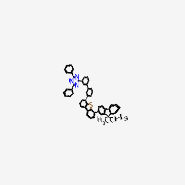 CC1(C)c2ccccc2-c2ccc(-c3cccc4c3sc3c(-c5cccc(-c6cccc(-c7nc(-c8ccccc8)nc(-c8ccccc8)n7)c6)c5)cccc34)cc21